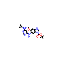 COc1cc2ncn(C(=O)OC(C)(C)C)c2cc1Nc1cc(NC2CC2)ncn1